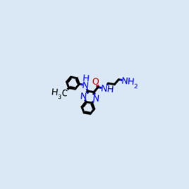 Cc1cccc(Nc2nc3ccccc3nc2C(=O)NCCCN)c1